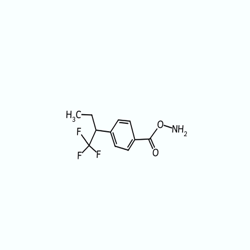 CCC(c1ccc(C(=O)ON)cc1)C(F)(F)F